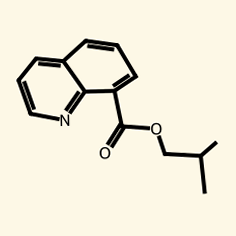 CC(C)COC(=O)c1cccc2cccnc12